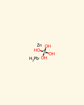 [OH][Ti]([OH])([OH])[OH].[PbH2].[Zn]